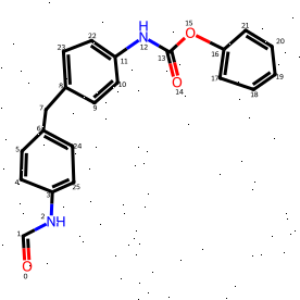 O=CNc1ccc(Cc2ccc(NC(=O)Oc3ccccc3)cc2)cc1